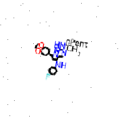 CCCCCC(C)Nc1ncc2c(Nc3ccc(F)cc3)cc(C3CCC4(CC3)OCCO4)n2n1